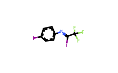 FC(F)(F)C(I)=Nc1ccc(I)cc1